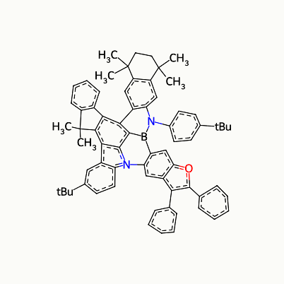 CC(C)(C)c1ccc(N2B3c4cc5oc(-c6ccccc6)c(-c6ccccc6)c5cc4-n4c5ccc(C(C)(C)C)cc5c5c6c(c(c3c54)-c3cc4c(cc32)C(C)(C)CCC4(C)C)-c2ccccc2C6(C)C)cc1